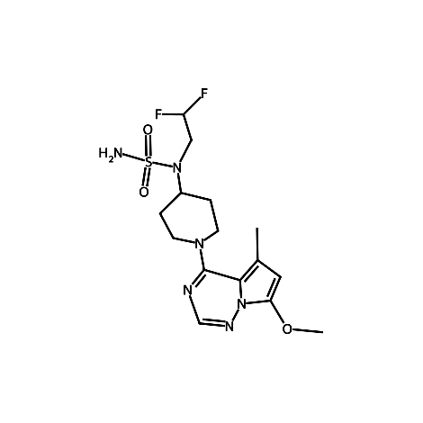 COc1cc(C)c2c(N3CCC(N(CC(F)F)S(N)(=O)=O)CC3)ncnn12